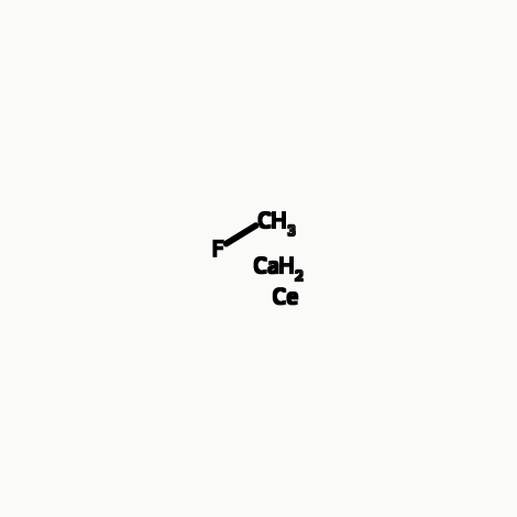 CF.[CaH2].[Ce]